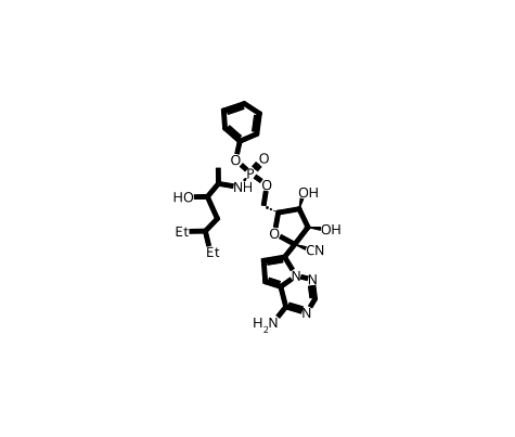 CCC(CC)CC(O)C(C)N[P@](=O)(OC[C@H]1O[C@@](C#N)(c2ccc3c(N)ncnn23)[C@H](O)[C@@H]1O)Oc1ccccc1